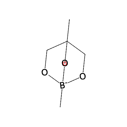 C[B-]12OCC(C)(CO1)CO2